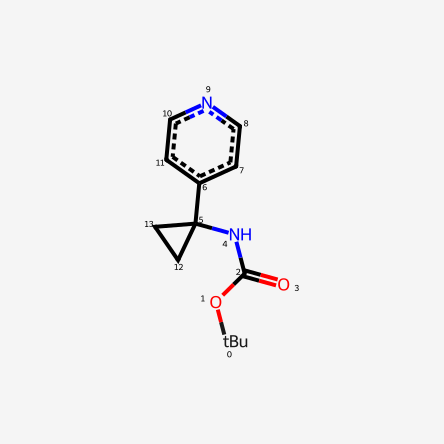 CC(C)(C)OC(=O)NC1(c2ccncc2)CC1